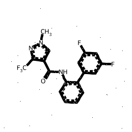 Cn1cc(C(=O)Nc2ccccc2-c2cc(F)cc(F)c2)c(C(F)(F)F)n1